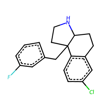 Fc1cccc(CC23CCNC2CCc2cc(Cl)ccc23)c1